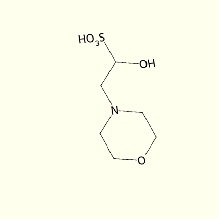 O=S(=O)(O)C(O)CN1CCOCC1